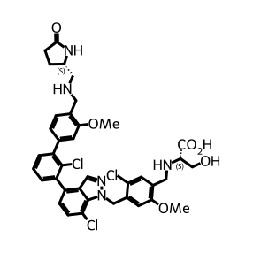 COc1cc(-c2cccc(-c3ccc(Cl)c4c3cnn4Cc3cc(OC)c(CN[C@@H](CO)C(=O)O)cc3Cl)c2Cl)ccc1CNC[C@@H]1CCC(=O)N1